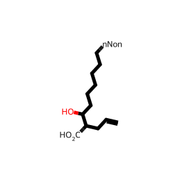 C=CCC(C(=O)O)C(O)CCCCCCCCCCCCCCC